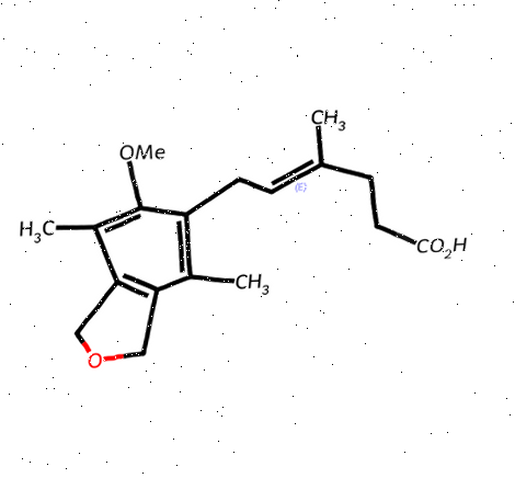 COc1c(C)c2c(c(C)c1C/C=C(\C)CCC(=O)O)COC2